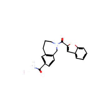 O=C(NO)c1ccc2c(c1)CCCN(C(=O)c1cc3ccccc3o1)C2